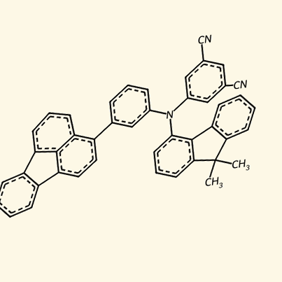 CC1(C)c2ccccc2-c2c(N(c3cc(C#N)cc(C#N)c3)c3cccc(-c4ccc5c6c(cccc46)-c4ccccc4-5)c3)cccc21